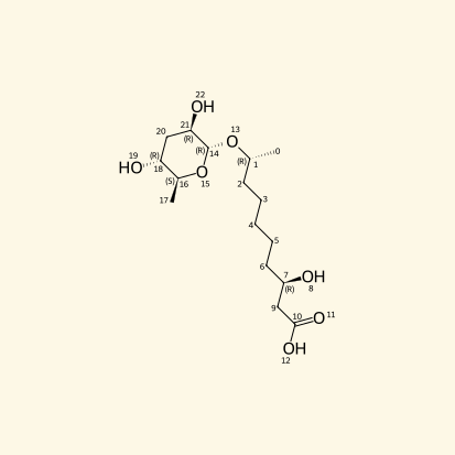 C[C@H](CCCCC[C@@H](O)CC(=O)O)O[C@@H]1O[C@@H](C)[C@H](O)C[C@H]1O